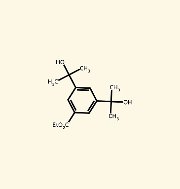 CCOC(=O)c1cc(C(C)(C)O)cc(C(C)(C)O)c1